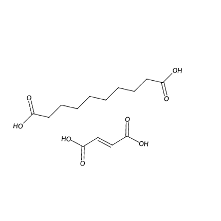 O=C(O)/C=C/C(=O)O.O=C(O)CCCCCCCCC(=O)O